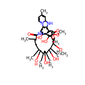 COc1c(C)c(O)c2c(O)c3c4c(c2c1C(=O)O/C=C/C(OC)C(C)C(O)C(C)C(O)C(C)C(O)C(C)/C=C/C=C(/C)C(=O)N3)NC1C=C(C)C=CN41